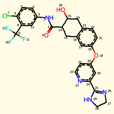 O=C(Nc1ccc(Cl)c(C(F)(F)F)c1)C1Cc2cc(Oc3ccnc(C4=NCCN4)c3)ccc2CC1O